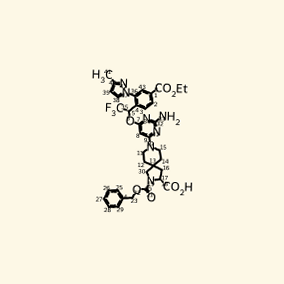 CCOC(=O)c1ccc([C@@H](Oc2cc(N3CCC4(CC3)C[C@@H](C(=O)O)N(C(=O)OCc3ccccc3)C4)nc(N)n2)C(F)(F)F)c(-n2ccc(C)n2)c1